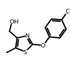 Cc1sc(Oc2ccc(Cl)cc2)nc1CO